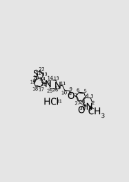 CN1CCc2ccc(OCCCN3CCN(c4cccc5sccc45)CC3)cc2C1=O.Cl